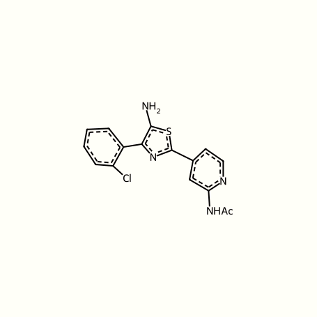 CC(=O)Nc1cc(-c2nc(-c3ccccc3Cl)c(N)s2)ccn1